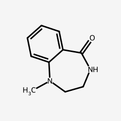 CN1CCNC(=O)c2ccccc21